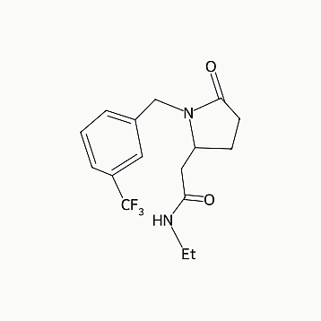 CCNC(=O)CC1CCC(=O)N1Cc1cccc(C(F)(F)F)c1